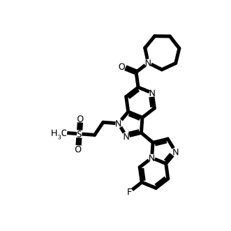 CS(=O)(=O)CCn1nc(-c2cnc3ccc(F)cn23)c2cnc(C(=O)N3CCCCCC3)cc21